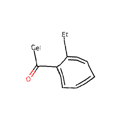 CCc1ccccc1[C](=O)[Ge]